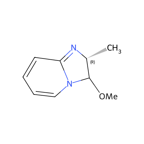 COC1[C@@H](C)N=C2C=CC=CN21